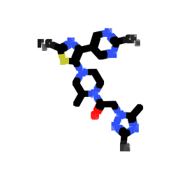 CCc1nc(C)n(CC(=O)N2CCN(c3sc(C(F)(F)F)nc3-c3cnc(C(F)(F)F)nc3)CC2C)n1